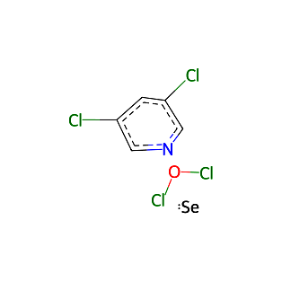 ClOCl.Clc1cncc(Cl)c1.[Se]